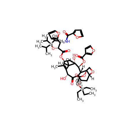 CC[Si](CC)(CC)O[C@H]1C[C@H]2OC[C@@]2(OC(C)=O)[C@H]2[C@H](OC(=O)c3ccoc3)[C@]3(O)C[C@H](OC(=O)[C@H](O[Si](C(C)C)(C(C)C)C(C)C)[C@@H](NC(=O)c4ccco4)c4ccco4)C(C)=C([C@@H](O)C(=O)[C@]12C)C3(C)C